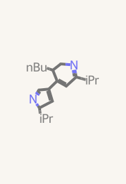 CCCCC1CN=C(C(C)C)C=C1C1=CC(C(C)C)N=C1